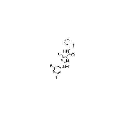 O=C(NC1CCC12CCCC2)c1nc(Nc2cc(F)nc(F)c2)sc1Cl